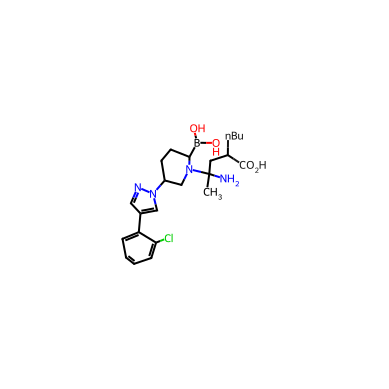 CCCCC(CC(C)(N)N1CC(n2cc(-c3ccccc3Cl)cn2)CCC1B(O)O)C(=O)O